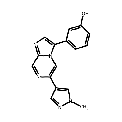 Cn1cc(-c2cn3c(-c4cccc(O)c4)cnc3cn2)cn1